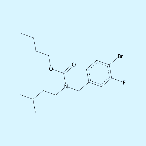 CCCCOC(=O)N(CCC(C)C)Cc1ccc(Br)c(F)c1